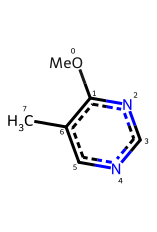 COc1ncncc1C